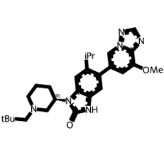 COc1cc(-c2cc3[nH]c(=O)n([C@@H]4CCCN(CC(C)(C)C)C4)c3cc2C(C)C)cn2ncnc12